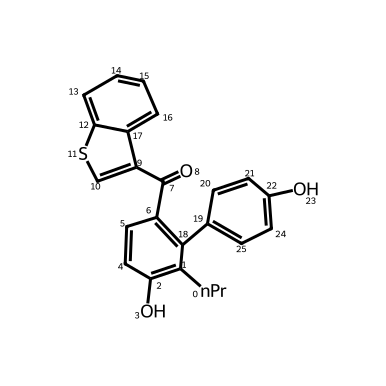 CCCc1c(O)ccc(C(=O)c2csc3ccccc23)c1-c1ccc(O)cc1